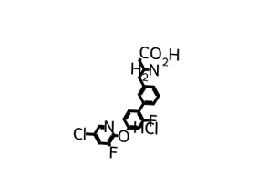 Cl.NC(CC(=O)O)Cc1cccc(-c2ccc(Oc3ncc(Cl)cc3F)cc2F)c1